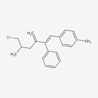 C=C(CC(C)CCl)/C(=C/c1ccc(C)cc1)c1ccccc1